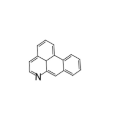 C1=CC2=CC=NC3=Cc4ccccc4C(=C1)C23